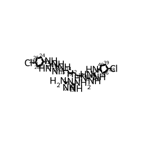 N=C(N)NC(=N)N.N=C(NCCCCCCNC(=N)NC(=N)Nc1ccc(Cl)cc1)NC(=N)Nc1ccc(Cl)cc1